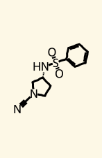 N#CN1CC[C@@H](NS(=O)(=O)c2ccccc2)C1